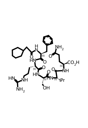 CC(C)[C@H](NC(=O)[C@H](CO)NC(=O)[C@H](CCCNC(=N)N)NC(=O)[C@H](Cc1ccccc1)NC(=O)CC1CCCCC1)C(=O)N[C@@H](CCC(N)=O)C(=O)O